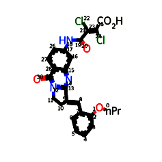 CCCOc1ccccc1C=C1CCn2c1nc1cc(NC(=O)C(Cl)=C(Cl)C(=O)O)ccc1c2=O